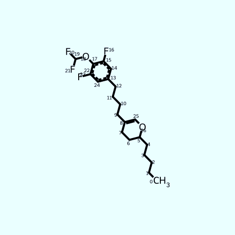 CCCCCC1CCC(CCCCc2cc(F)c(OC(F)F)c(F)c2)=CO1